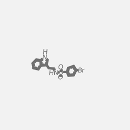 O=S(=O)(NCCc1c[nH]c2ccccc12)c1ccc(Br)cc1